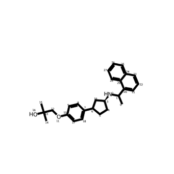 CC(N[C@H]1CCC(c2ccc(OCC(C)(C)O)cc2)C1)c1cccc2ccccc12